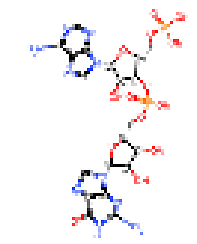 Nc1nc2c(ncn2[C@@H]2O[C@H](COP(=O)(O)O[C@H]3[C@@H](O)[C@H](n4cnc5c(N)ncnc54)O[C@@H]3COP(=O)(O)O)[C@@H](O)[C@H]2O)c(=O)[nH]1